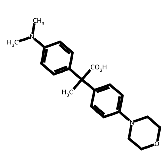 CN(C)c1ccc(C(C)(C(=O)O)c2ccc(N3CCOCC3)cc2)cc1